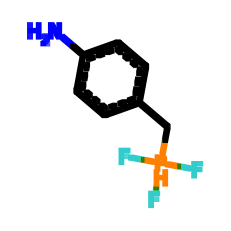 Nc1ccc(C[PH](F)(F)F)cc1